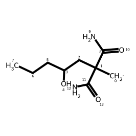 [CH2]C(CC(O)CCC)(C(N)=O)C(N)=O